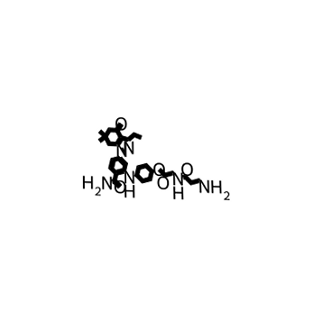 CCc1nn(-c2ccc(C(N)=O)c(N[C@H]3CC[C@H](OC(=O)CNC(=O)CCN)CC3)c2)c2c1C(=O)CC(C)(C)C2